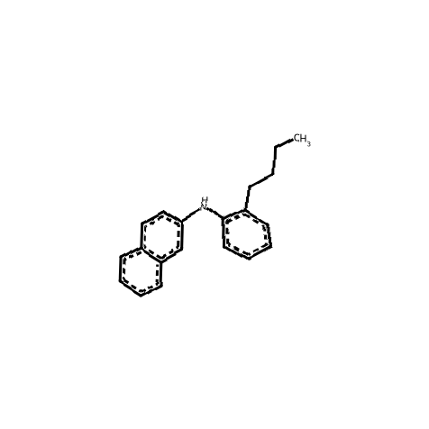 CCCCc1ccccc1Nc1ccc2ccccc2c1